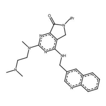 CC(C)N1Cc2c(NCc3cnc4ccccc4c3)nc(N(C)CCN(C)C)nc2C1=O